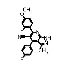 COc1ccc(-c2nc3[nH]nc(C)c3c(-c3ccc(F)cc3)c2C#N)c(F)c1